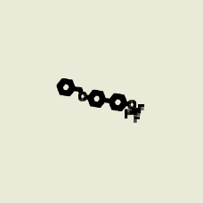 FC(F)(F)Oc1ccc(-c2ccc(OCc3ccccc3)cc2)cc1